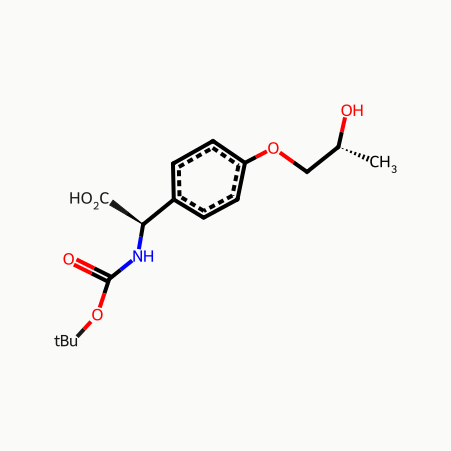 C[C@@H](O)COc1ccc([C@@H](NC(=O)OC(C)(C)C)C(=O)O)cc1